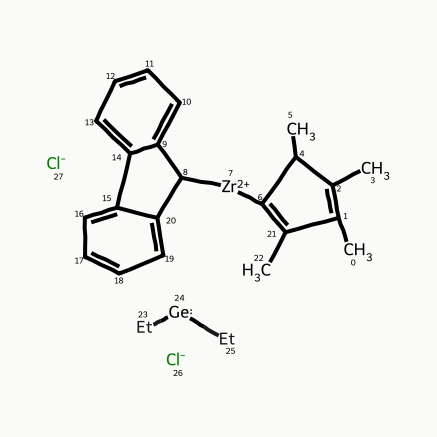 CC1=C(C)C(C)[C]([Zr+2][CH]2c3ccccc3-c3ccccc32)=C1C.C[CH2][Ge][CH2]C.[Cl-].[Cl-]